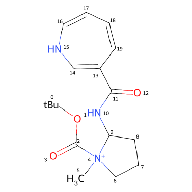 CC(C)(C)OC(=O)[N+]1(C)CCCC1NC(=O)C1=CNC=CC=C1